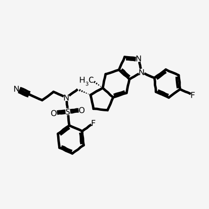 C[C@]12Cc3cnn(-c4ccc(F)cc4)c3C=C1CC[C@@H]2CN(CCC#N)S(=O)(=O)c1ccccc1F